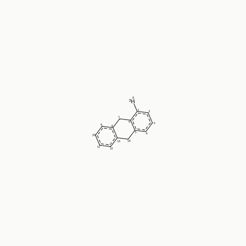 [2H]c1cccc2c1Cc1ccccc1C2